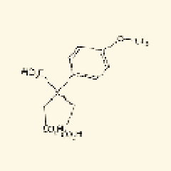 O=C(O)CC(CC(=O)O)(C(=O)O)c1ccc(OC(F)(F)F)cc1